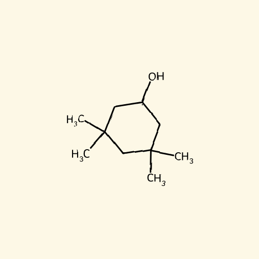 CC1(C)C[C](O)CC(C)(C)C1